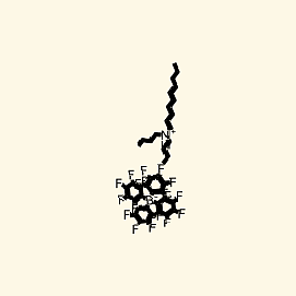 CCCCCCCCCC[NH+](CCCC)CCCC.Fc1c(F)c(F)c([B-](c2c(F)c(F)c(F)c(F)c2F)(c2c(F)c(F)c(F)c(F)c2F)c2c(F)c(F)c(F)c(F)c2F)c(F)c1F